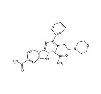 NC(=O)c1ccc2c(c1)[nH]c1c(C(N)=O)c(CCN3CCOCC3)c(-c3ccccc3)nc12